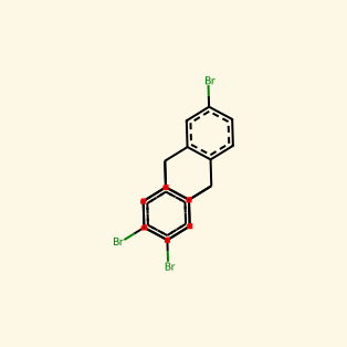 Brc1ccc2c(c1)C1c3ccc(Br)cc3C2c2cc(Br)ccc21